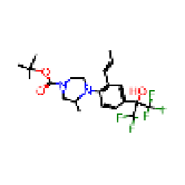 CC=Cc1cc(C(O)(C(F)(F)F)C(F)(F)F)ccc1N1CCN(C(=O)OC(C)(C)C)CC1C